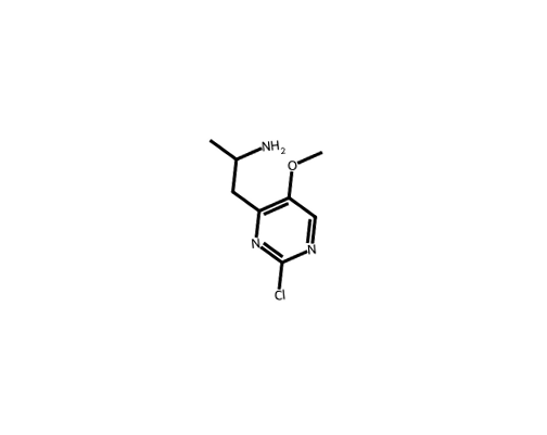 COc1cnc(Cl)nc1CC(C)N